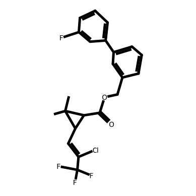 CC1(C)C(C=C(Cl)C(F)(F)F)C1C(=O)OCc1cccc(-c2cccc(F)c2)c1